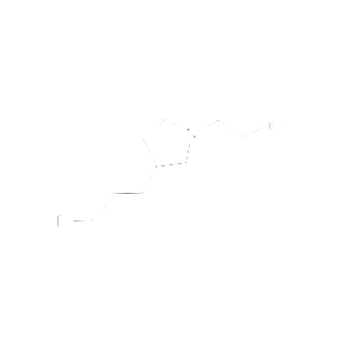 CC(C)CCN1CCC(CCSC(C)C)C1